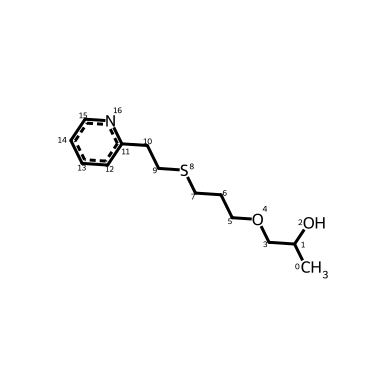 CC(O)COCCCSCCc1ccccn1